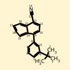 CC(C)(C)c1cccc(-c2ccc(C#N)c3ccccc23)c1